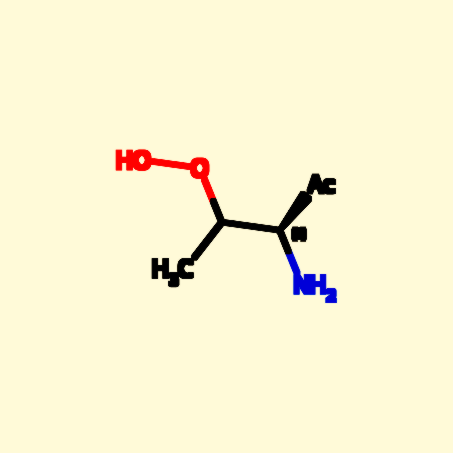 CC(=O)[C@@H](N)C(C)OO